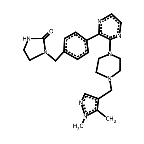 Cc1c(CN2CCN(c3nccnc3-c3ccc(CN4CCNC4=O)cc3)CC2)cnn1C